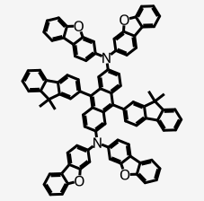 CC1(C)c2ccccc2-c2ccc(-c3c4ccc(N(c5ccc6c(c5)oc5ccccc56)c5ccc6c(c5)oc5ccccc56)cc4c(-c4ccc5c(c4)C(C)(C)c4ccccc4-5)c4ccc(N(c5ccc6c(c5)oc5ccccc56)c5ccc6c(c5)oc5ccccc56)cc34)cc21